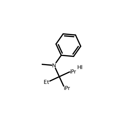 CCC(C(C)C)(C(C)C)N(C)c1ccccc1.I